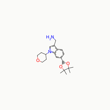 CC1(C)OB(c2ccc3c(CN)cn(C4CCOCC4)c3c2)OC1(C)C